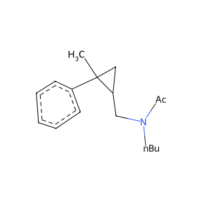 CCCCN(CC1CC1(C)c1ccccc1)C(C)=O